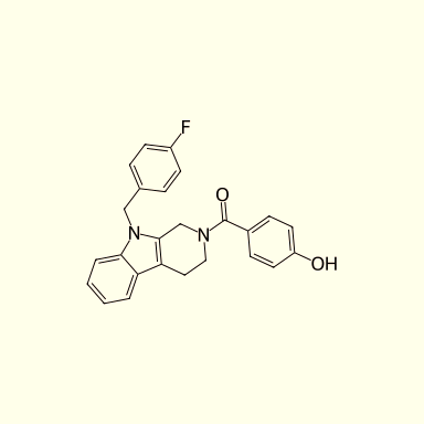 O=C(c1ccc(O)cc1)N1CCc2c(n(Cc3ccc(F)cc3)c3ccccc23)C1